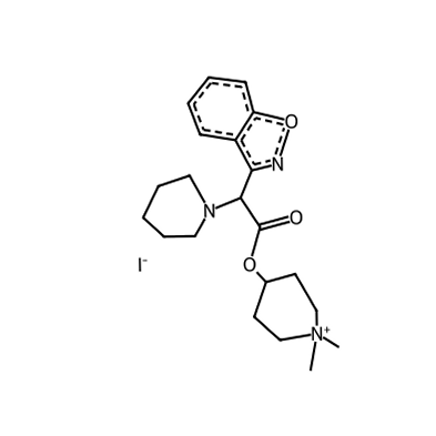 C[N+]1(C)CCC(OC(=O)C(c2noc3ccccc23)N2CCCCC2)CC1.[I-]